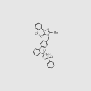 CCCCc1nn(-c2ccccc2C(F)(F)F)c(=O)n1Cc1ccc(-c2ccccc2S(=O)(=O)NS(=O)(=O)c2ccccc2)cc1